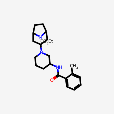 CCOC(=O)N1C2CCC1CC(N1CCCC(NC(=O)c3ccccc3C)C1)C2